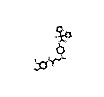 COc1cc(NC(=O)CCN(C)[C@H]2CC[C@H](OC(=O)C(O)(c3cccs3)c3cccs3)CC2)ccc1C=O